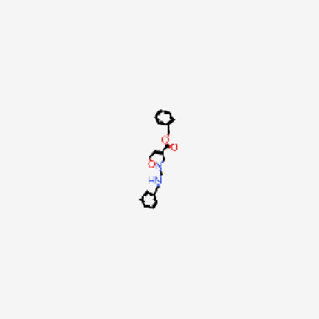 O=C(OCc1ccccc1)C1=CCON(CNCc2ccccc2)C1